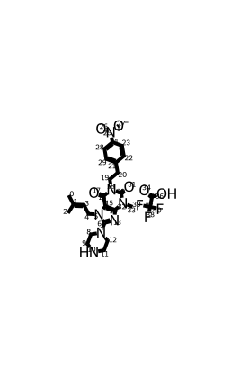 CC(C)=CCn1c(N2CCNCC2)nc2c1c(=O)n(CCc1ccc([N+](=O)[O-])cc1)c(=O)n2C.O=C(O)C(F)(F)F